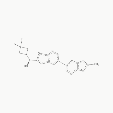 Cn1cc2cc(-c3cnc4sc([C@@H](O)C5CC(F)(F)C5)cc4c3)cnc2n1